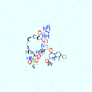 Cc1c(Cl)ccc2c(O[C@@H]3C[C@H]4C(=O)N[C@]5(C(=O)NS(=O)(=O)C6(C)CC6)C[C@H]5/C=C\CCCCC[C@H](NC(=O)c5ccn(C)n5)C(=O)N4C3)cc(OC(C)C)nc12